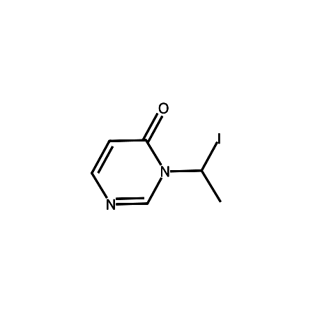 CC(I)n1cnccc1=O